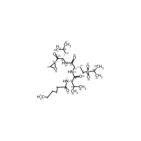 CCCCCC(=O)N[C@H](C(=O)N[C@@H](CCS(=O)(=O)C(C)C)C(=O)N[C@@H](CC(C)C)C(=O)[C@@H]1CO1)C(C)C